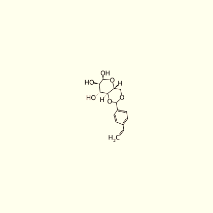 C=Cc1ccc(C2OC[C@H]3O[C@H](O)[C@H](O)[C@@H](O)[C@@H]3O2)cc1